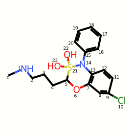 CNCCCC1Oc2cc(Cl)ccc2N(c2ccccc2)S1(O)O